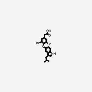 CC(C)Cc1c[nH]c2ccc(Oc3c(Br)cc(CC(=O)O)cc3Br)cc12